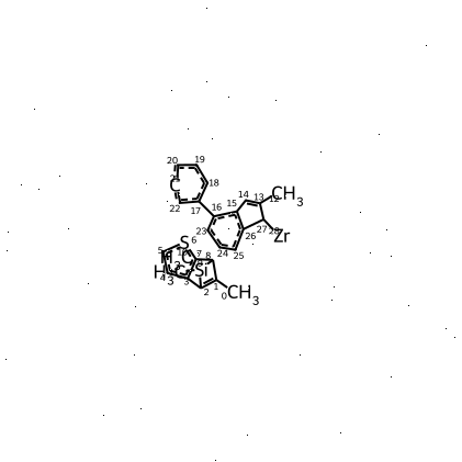 CC1=C2c3ccsc3C1[Si]2(C)C.CC1=Cc2c(-c3ccccc3)cccc2[CH]1[Zr]